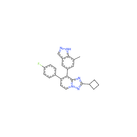 Cc1cc(-c2c(-c3ccc(F)cc3)ccn3nc(C4CCC4)nc23)cc2cn[nH]c12